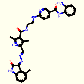 Cc1cccc2c1C(=NN=Cc1[nH]c(C)c(C(=O)NCCNc3ccc(C(=O)Nc4ccccc4N)cn3)c1C)C(=O)N2